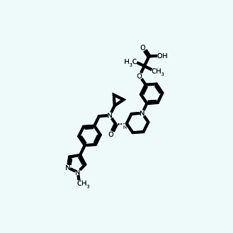 Cn1cc(-c2ccc(CN(C(=O)[C@H]3CCCN(c4cccc(OC(C)(C)C(=O)O)c4)C3)C3CC3)cc2)cn1